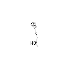 CCCC(O)C#CCCCCCCCCOC1CCCCO1